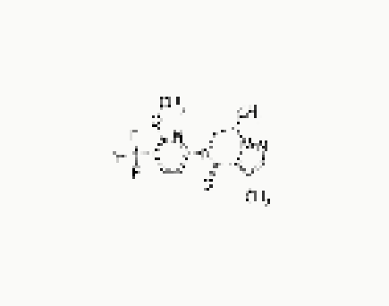 COc1nc(N2CC(C)n3ncc(C)c3C2=O)ccc1C(F)(F)F